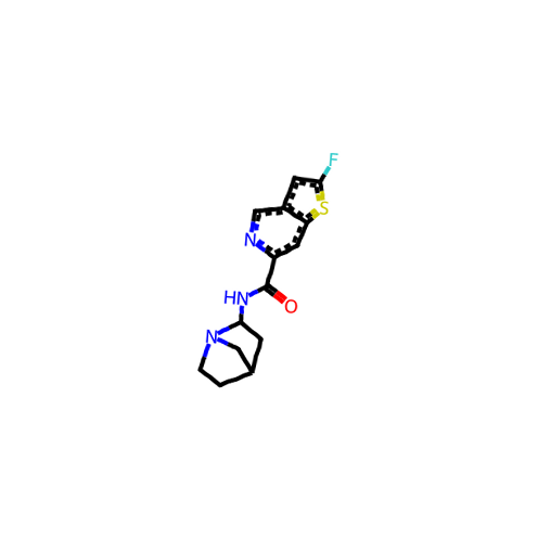 O=C(NC1CC2CCN1C2)c1cc2sc(F)cc2cn1